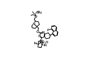 CC(C)(C)[Si](C)(C)OCC1CCC2(COc3nc4c(c(N5C[C@H]6CC[C@@H](C5)N6C(=O)O)n3)CCN(c3cccc5cccc(F)c35)C4)CCCN12